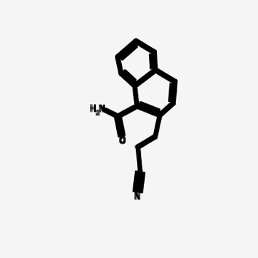 N#C[CH]Cc1ccc2ccccc2c1C(N)=O